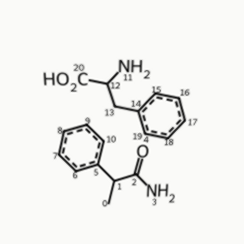 CC(C(N)=O)c1ccccc1.NC(Cc1ccccc1)C(=O)O